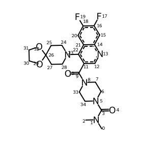 CN(C)C(=O)N1CCN(C(=O)c2cnc3cc(F)c(F)cc3c2N2CCC3(CC2)OCCO3)CC1